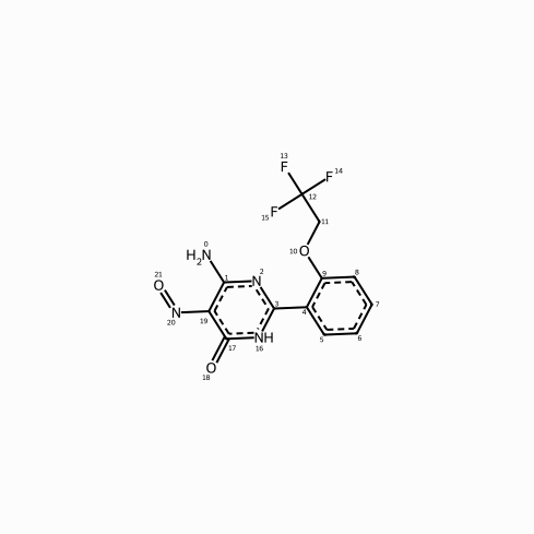 Nc1nc(-c2ccccc2OCC(F)(F)F)[nH]c(=O)c1N=O